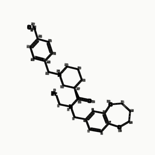 CC(C)CN(Cc1ccc2c(c1)OCCCO2)C(=O)[C@@H]1CCCN(Cc2ccc([N+](=O)[O-])cc2)C1